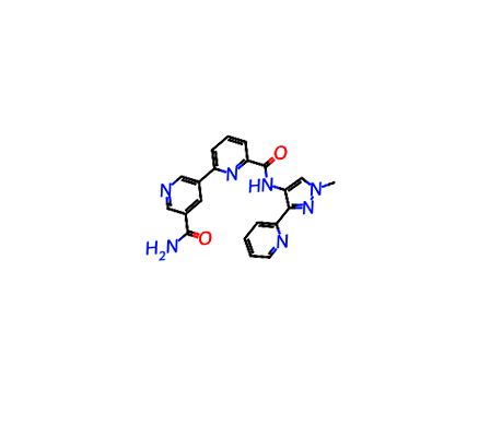 Cn1cc(NC(=O)c2cccc(-c3cncc(C(N)=O)c3)n2)c(-c2ccccn2)n1